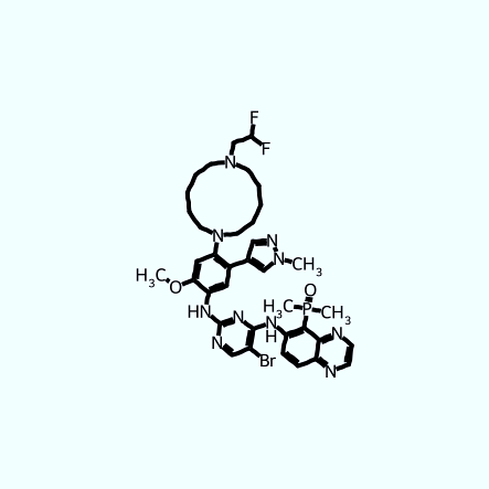 COc1cc(N2CCCCCN(CC(F)F)CCCCC2)c(-c2cnn(C)c2)cc1Nc1ncc(Br)c(Nc2ccc3nccnc3c2P(C)(C)=O)n1